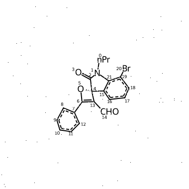 CCCN1C(=O)[C@@]2(OC(c3ccccc3)=C2C=O)c2cccc(Br)c21